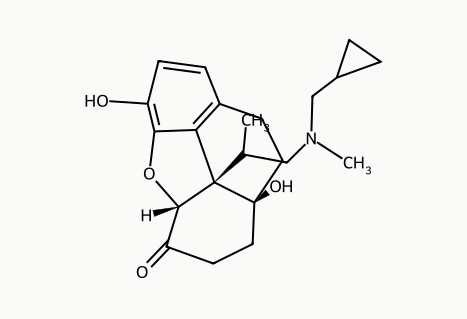 CC(CN(C)CC1CC1)[C@]12c3c4ccc(O)c3O[C@H]1C(=O)CC[C@@]2(O)CC4